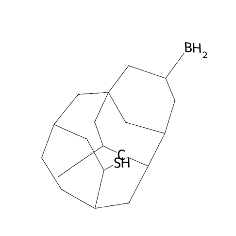 BC1CC2CC3(C1)CC(C)CC2CC1CCC(CC1S)C3